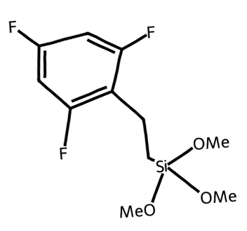 CO[Si](CCc1c(F)cc(F)cc1F)(OC)OC